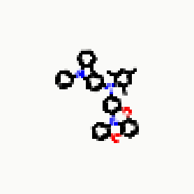 Cc1cc(C)c(N(c2ccc3c(c2)Oc2cccc4c2N3c2ccccc2O4)c2ccc3c(c2)c2ccccc2n3-c2ccccc2)c(C)c1